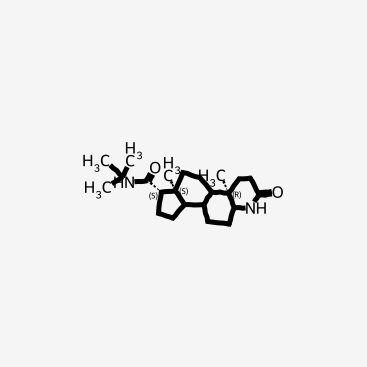 CC(C)(C)NC(=O)[C@H]1CCC2C3CCC4NC(=O)CC[C@]4(C)C3CC[C@@]21C